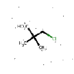 [CH2]C(C)(CCl)C(=O)O